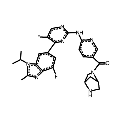 Cc1nc2c(F)cc(-c3nc(Nc4ccc(C(=O)N5CC6CC5CN6)cn4)ncc3F)cc2n1C(C)C